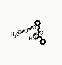 COCCOCCCOc1ccccc1CCC(=O)N1CCNCC1Cc1ccccc1